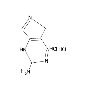 Cl.Cl.NC1N=CC2=C(C=NC2)N1